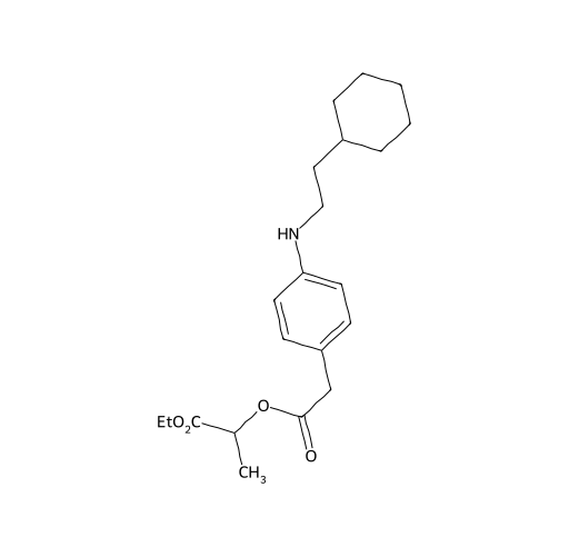 CCOC(=O)C(C)OC(=O)Cc1ccc(NCCC2CCCCC2)cc1